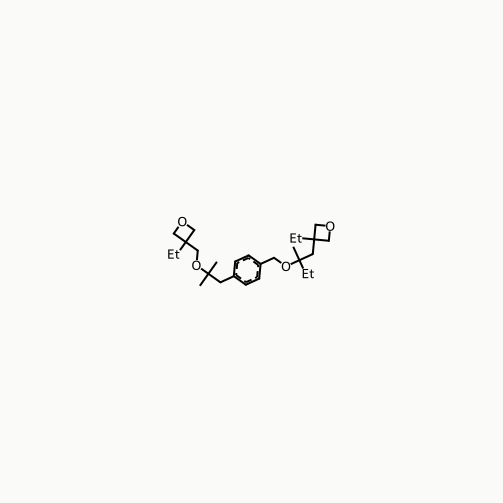 CCC1(COC(C)(C)Cc2ccc(COC(C)(CC)CC3(CC)COC3)cc2)COC1